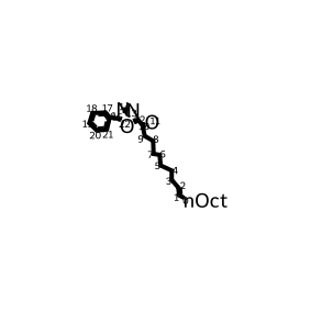 CCCCCCCCC=CCCCCCCCC(=O)c1nnc(-c2ccccc2)o1